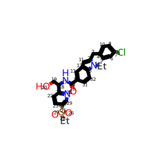 CCn1c(Cc2ccc(Cl)cc2)cc2cc(C(=O)NC(CO)c3ccc(S(=O)(=O)CC)cn3)ccc21